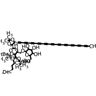 CC#CC#CC#CC#CC#CC#CC#CC#CC#CC#CC#C[C@H]1OC(C)(C)O[C@H]1C(=O)N[C@@H](COC1OC(CO)C(O)C(O)C1O)[C@H](O[Si](C)(C)C(C)(C)C)[C@@H](CCCCCCCCCCCCCC)O[Si](C)(C)C(C)(C)C